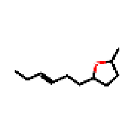 CCC=CCCC1CCC(C)O1